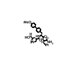 COc1ccc(-c2ccc(C[C@H](NC(=O)[C@@H](CC(=O)NO)CC(C)C)C(=O)N[C@@H](CC(C)C)C(N)=O)cc2)cc1